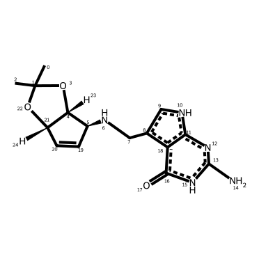 CC1(C)O[C@@H]2[C@@H](NCc3c[nH]c4nc(N)[nH]c(=O)c34)C=C[C@@H]2O1